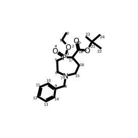 CCOP1(=O)CCN(Cc2ccccc2)CCC1C(=O)OC(C)(C)C